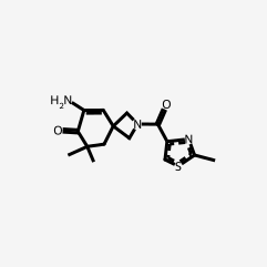 Cc1nc(C(=O)N2CC3(C=C(N)C(=O)C(C)(C)C3)C2)cs1